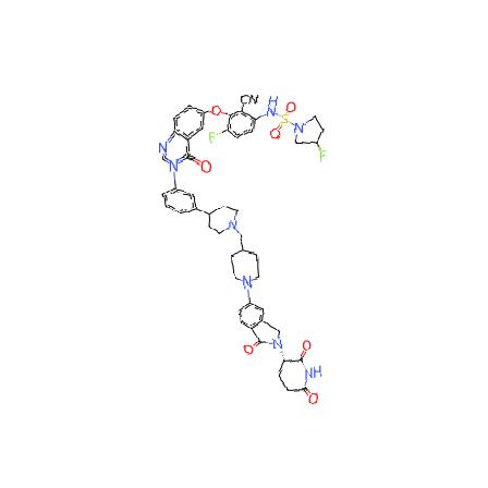 N#Cc1c(NS(=O)(=O)N2CC[C@@H](F)C2)ccc(F)c1Oc1ccc2ncn(-c3cccc(C4CCN(CC5CCN(c6ccc7c(c6)CN([C@H]6CCC(=O)NC6=O)C7=O)CC5)CC4)c3)c(=O)c2c1